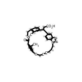 Cc1cc2ccc1C(=O)N1CCc3ccc(cc3C1)C(CC(=O)O)c1ccc3c(c1)nnn3CCCCCCO2